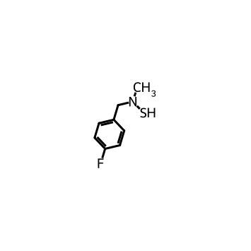 CN(S)Cc1ccc(F)cc1